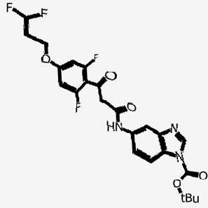 CC(C)(C)OC(=O)n1cnc2cc(NC(=O)CC(=O)c3c(F)cc(OCCC(F)F)cc3F)ccc21